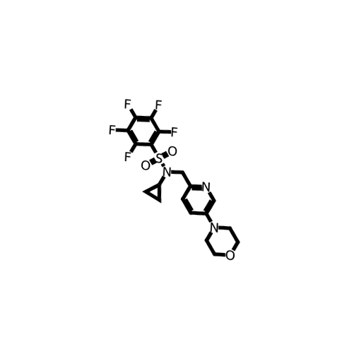 O=S(=O)(c1c(F)c(F)c(F)c(F)c1F)N(Cc1ccc(N2CCOCC2)cn1)C1CC1